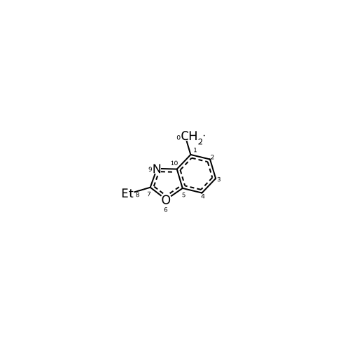 [CH2]c1cccc2oc(CC)nc12